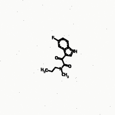 CCCN(C)C(=O)C(=O)c1c[nH]c2ccc(F)cc12